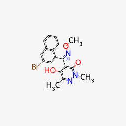 CO/N=C(/c1c(O)c(C)nn(C)c1=O)c1cc(Br)cc2ccccc12